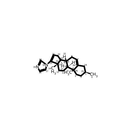 C[C@H]1CC[C@@]2(C)C(=CC[C@@H]3[C@@H]2CC[C@]2(C)C(n4ccnc4)=CC[C@@H]32)C1